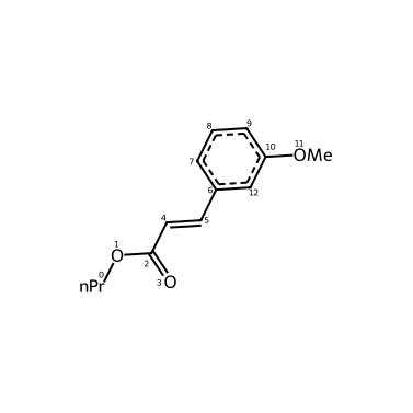 CCCOC(=O)/C=C/c1cccc(OC)c1